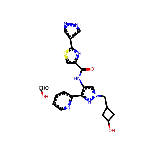 O=C(Nc1cn(CC2CC(O)C2)nc1-c1ccccn1)c1csc(-c2cn[nH]c2)n1.O=CO